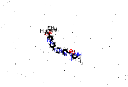 C=C1CCC(NC(=O)c2ccc(N3CCN(CC4CCN(c5ccc(C(=O)OC(C)(C)C)cn5)CC4)CC3)cn2)C(=O)N1